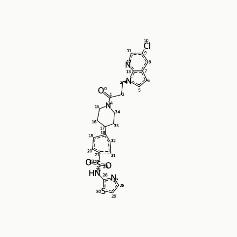 O=C(CCn1ccc2cc(Cl)cnc21)N1CCC(c2ccc(S(=O)(=O)Nc3nccs3)cc2)CC1